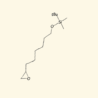 CC(C)(C)[Si](C)(C)OCCCCCCC1CO1